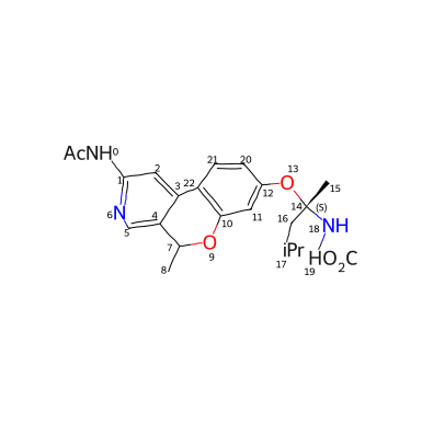 CC(=O)Nc1cc2c(cn1)C(C)Oc1cc(O[C@@](C)(CC(C)C)NC(=O)O)ccc1-2